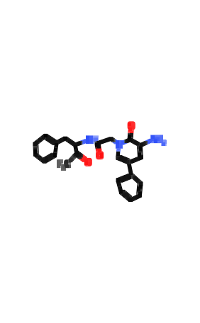 Nc1cc(-c2ccccc2)cn(CC(=O)NC(Cc2ccccc2)C(=O)C(F)(F)F)c1=O